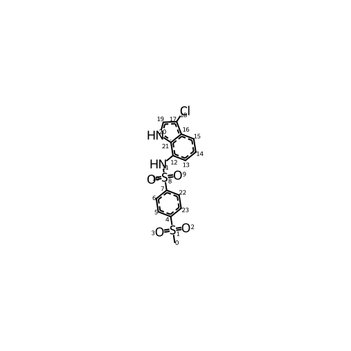 CS(=O)(=O)c1ccc(S(=O)(=O)Nc2cccc3c(Cl)c[nH]c23)cc1